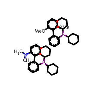 CN(C)c1ccccc1-c1ccccc1P(C1CCCCC1)C1CCCCC1.COc1cccc(OC)c1-c1ccccc1P(C1CCCCC1)C1CCCCC1